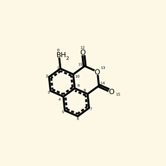 Bc1ccc2cccc3c2c1C(=O)OC3=O